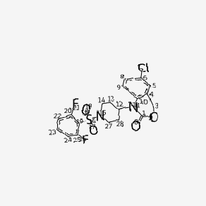 O=C1OCc2cc(Cl)ccc2N1C1CCN(S(=O)(=O)c2c(F)cccc2F)CC1